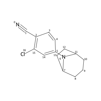 N#Cc1ccc(N2C3CCCC2CC3)cc1Cl